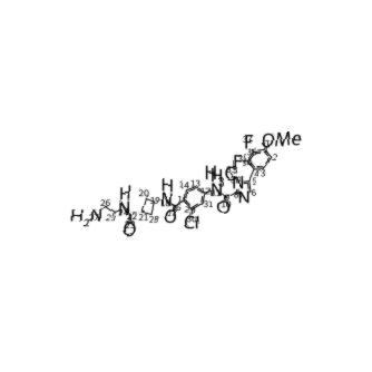 COc1ccc(-c2cnc(C(=O)Nc3ccc(C(=O)N[C@H]4C[C@@H](C(=O)NCCN)C4)c(Cl)c3)n2C)c(F)c1F